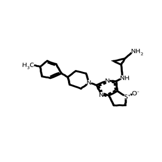 CC1C=CC(C2CCN(c3nc4c(c(NC5CC5N)n3)[S+]([O-])CC4)CC2)=CC1